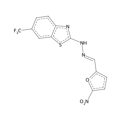 O=[N+]([O-])c1ccc(C=NNc2nc3ccc(C(F)(F)F)cc3s2)o1